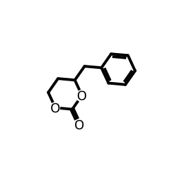 O=C1OCCC(Cc2ccccc2)O1